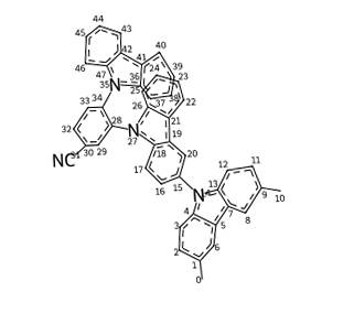 Cc1ccc2c(c1)c1cc(C)ccc1n2-c1ccc2c(c1)c1ccccc1n2-c1cc(C#N)ccc1-n1c2ccccc2c2ccccc21